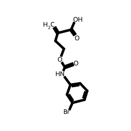 C=C(CCOC(=O)Nc1cccc(Br)c1)C(=O)O